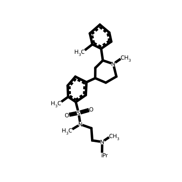 Cc1ccccc1C1CC(c2ccc(C)c(S(=O)(=O)N(C)CCN(C)C(C)C)c2)CCN1C